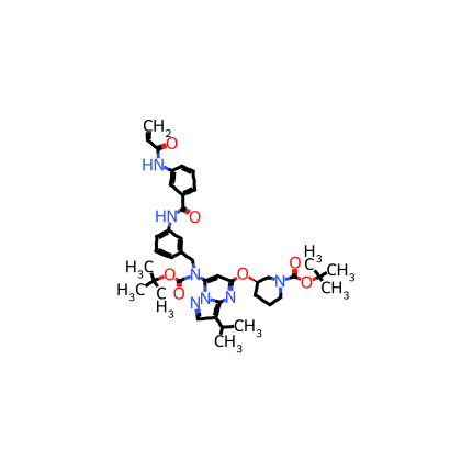 C=CC(=O)Nc1cccc(C(=O)Nc2cccc(CN(C(=O)OC(C)(C)C)c3cc(O[C@@H]4CCCN(C(=O)OC(C)(C)C)C4)nc4c(C(C)C)cnn34)c2)c1